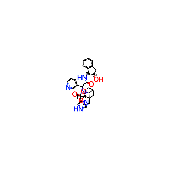 O=C(N[C@@H]1c2ccccc2C[C@@H]1O)C(c1cccnc1)N(C(=O)c1c[nH]cn1)C1C2CO[C@H]3OCC1C3C2